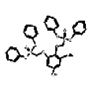 CC(C)(C)c1cc(OCP(=O)(Oc2ccccc2)Oc2ccccc2)c(OCP(=O)(Oc2ccccc2)Oc2ccccc2)c(C(C)(C)C)c1